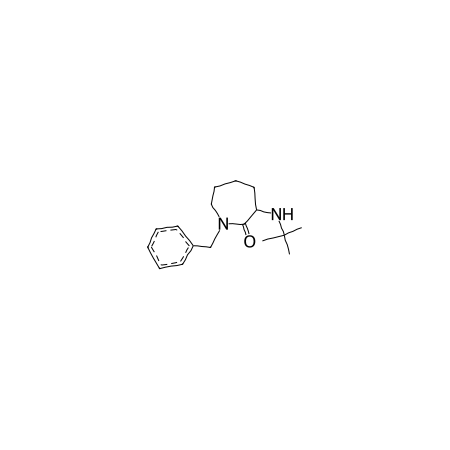 CC(C)(C)NC1CCCCN(Cc2ccccc2)C1=O